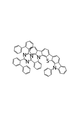 c1ccc(-c2ccccc2-c2nc(-c3ccccc3-c3ccccc3)nc(-c3ccccc3-n3c4ccccc4c4ccc5c6ccc7c8ccccc8n(-c8ccccc8)c7c6sc5c43)n2)cc1